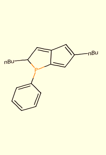 CCCCC1=CC2=CC(CCCC)P(c3ccccc3)C2=C1